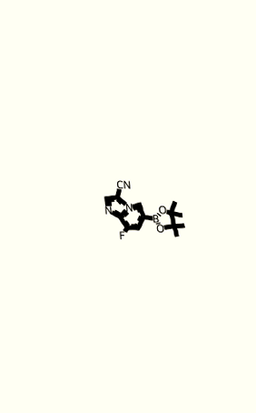 CC1(C)OB(c2cc(F)c3ncc(C#N)n3c2)OC1(C)C